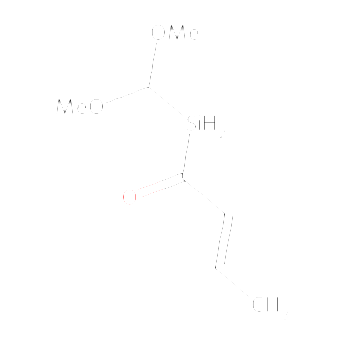 CC=CC(=O)[SiH2]C(OC)OC